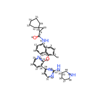 Cc1ccc2c(NC(=O)C3CC34CCCCC4)cccc2c1Oc1ncccc1-c1ccnc(N[C@H]2CCCNC2)n1